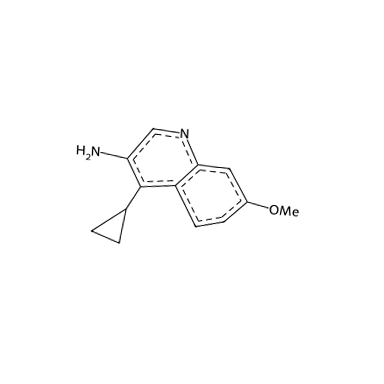 COc1ccc2c(C3CC3)c(N)cnc2c1